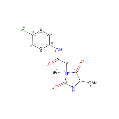 COC1NC(=O)[N+](CC(=O)Nc2ccc(Cl)cc2)(C(C)C)C1=O